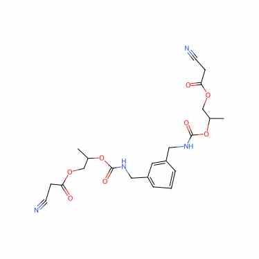 CC(COC(=O)CC#N)OC(=O)NCc1cccc(CNC(=O)OC(C)COC(=O)CC#N)c1